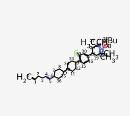 C=CCC/C=C/C1CCC(C2CCC(c3ccc(C4CC(C)(C)N(OCCCC)C(C)(C)C4)cc3F)CC2)CC1